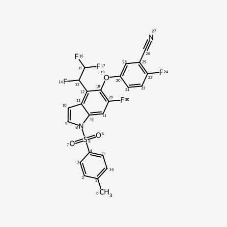 Cc1ccc(S(=O)(=O)n2ccc3c(C(F)C(F)F)c(Oc4ccc(F)c(C#N)c4)c(F)cc32)cc1